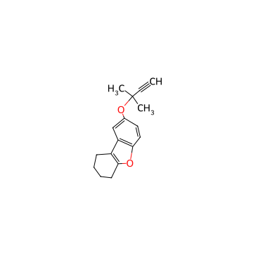 C#CC(C)(C)Oc1ccc2oc3c(c2c1)CCCC3